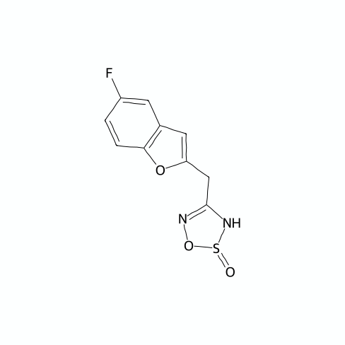 O=S1NC(Cc2cc3cc(F)ccc3o2)=NO1